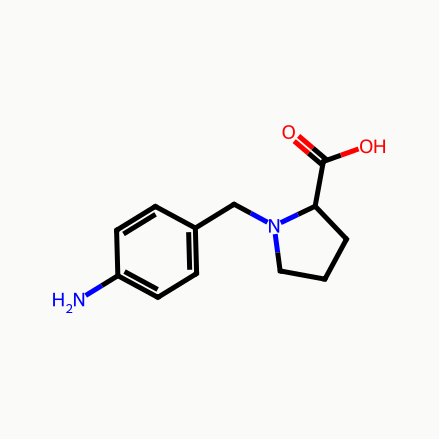 Nc1ccc(CN2CCCC2C(=O)O)cc1